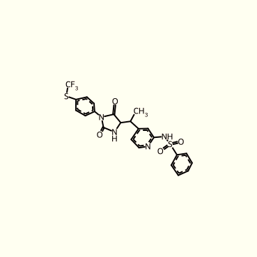 CC(c1ccnc(NS(=O)(=O)c2ccccc2)c1)C1NC(=O)N(c2ccc(SC(F)(F)F)cc2)C1=O